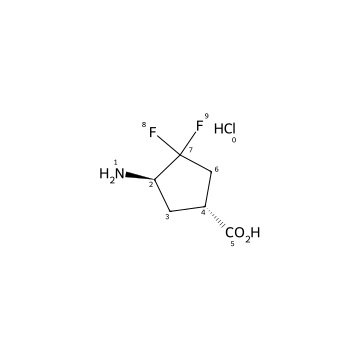 Cl.N[C@@H]1C[C@@H](C(=O)O)CC1(F)F